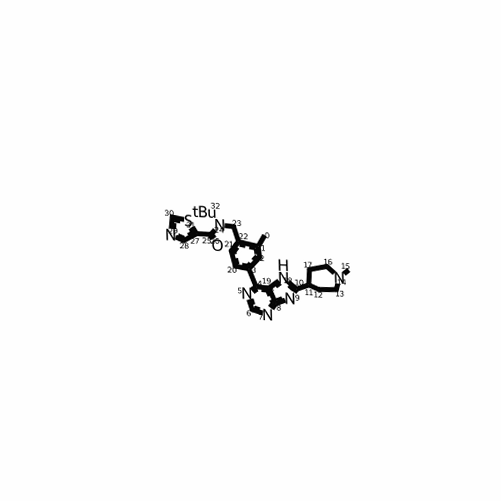 Cc1cc(-c2ncnc3nc(C4CCN(C)CC4)[nH]c23)ccc1CN(C(=O)c1cncs1)C(C)(C)C